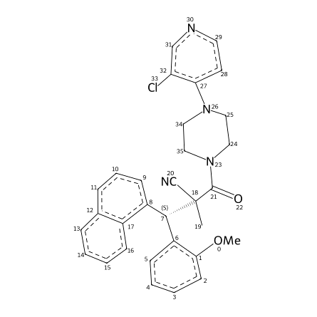 COc1ccccc1[C@H](c1cccc2ccccc12)C(C)(C#N)C(=O)N1CCN(c2ccncc2Cl)CC1